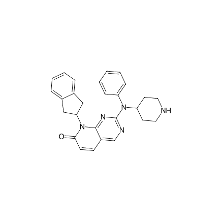 O=c1ccc2cnc(N(c3ccccc3)C3CCNCC3)nc2n1C1Cc2ccccc2C1